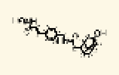 O=C(C=Cc1ccc(CNC(=O)CC2C3CC4CC2CC(O)(C4)C3)cc1)NO